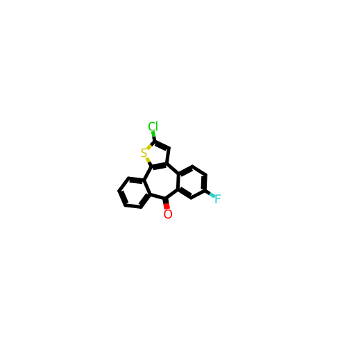 O=c1c2cc(F)ccc2c2cc(Cl)sc2c2ccccc12